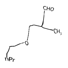 CCCCOCC(C)C=O